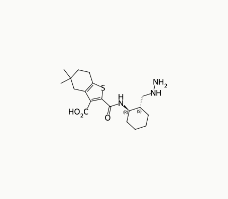 CC1(C)CCc2sc(C(=O)N[C@@H]3CCCC[C@H]3CNN)c(C(=O)O)c2C1